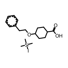 C[Si](C)(C)I.O=C(O)C1CCC(OCCc2ccccc2)CC1